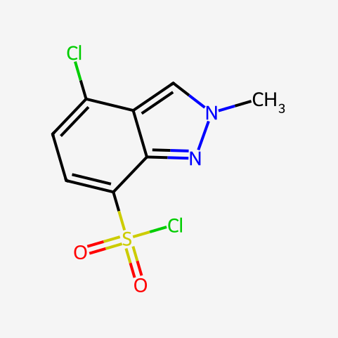 Cn1cc2c(Cl)ccc(S(=O)(=O)Cl)c2n1